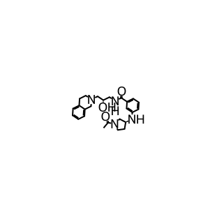 CC(=O)N1CC[C@H](Nc2cccc(C(=O)NC[C@H](O)CN3CCc4ccccc4C3)c2)C1